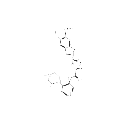 COc1cc2c(cc1OC)CN(c1nnc(C(=O)Nc3cnccc3N3CCNCC3)s1)C2